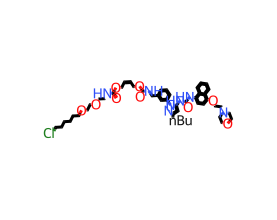 CCCCc1cc(NC(=O)Nc2ccc(OCCN3CCOCC3)c3ccccc23)n(-c2cccc(CNC(=O)OC/C=C\COC(=O)NCCOCCOCCCCCCCl)c2)n1